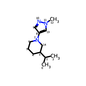 CC(C)C1CCCN(c2cnn(C)c2)C1